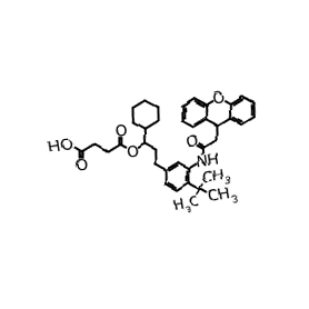 CC(C)(C)c1ccc(CCC(OC(=O)CCC(=O)O)C2CCCCC2)cc1NC(=O)CC1c2ccccc2Oc2ccccc21